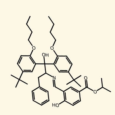 CCCCOc1ccc(C(C)(C)C)cc1C(O)(c1cc(C(C)(C)C)ccc1OCCCC)C(Cc1ccccc1)N=Cc1cc(C(=O)OC(C)C)ccc1O